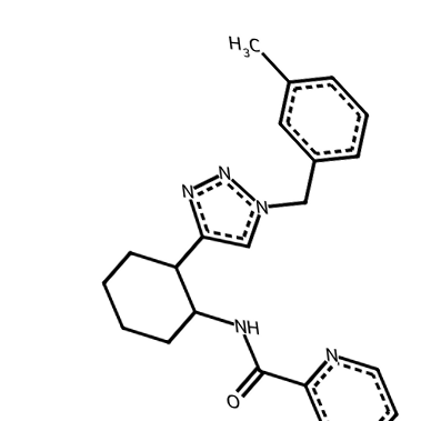 Cc1cccc(Cn2cc(C3CCCCC3NC(=O)c3ccccn3)nn2)c1